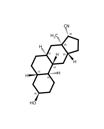 C[C@@]12C[C@@H]3CC[C@H]4C[C@H](O)CC[C@@H]4[C@H]3C[C@H]1CC[C@H]2C#N